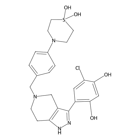 Oc1cc(O)c(-c2n[nH]c3c2CN(Cc2ccc(N4CCS(O)(O)CC4)cc2)CC3)cc1Cl